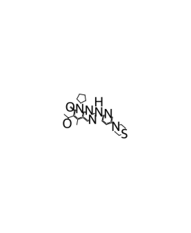 CC(=O)c1c(C)c2cnc(Nc3ccc(N4CCSCC4)cn3)nc2n(C2CCCC2)c1=O